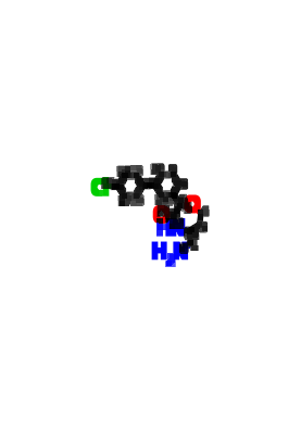 NC[C@@H]1CCO[C@H](c2cccc(-c3ccc(Cl)cc3)c2)C(=O)N1